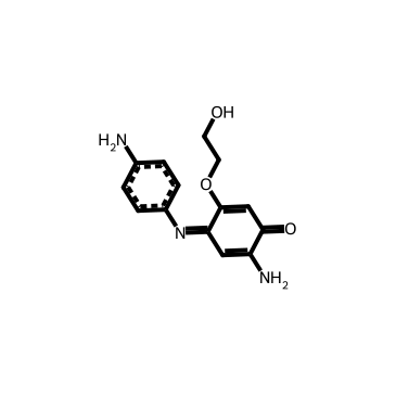 NC1=CC(=Nc2ccc(N)cc2)C(OCCO)=CC1=O